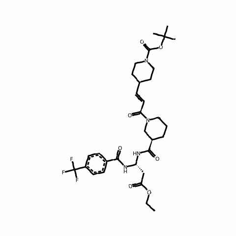 CCOC(=O)C[C@H](NC(=O)c1ccc(C(F)(F)F)cc1)NC(=O)[C@@H]1CCCN(C(=O)/C=C/C2CCN(C(=O)OC(C)(C)C)CC2)C1